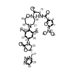 C[C@H](NC(=O)c1ccc([N+](=O)[O-])o1)C(=O)N1CCN(c2c(F)cc(N3C[C@H](Cn4ccnn4)OC3=O)cc2F)CCO1